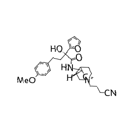 COc1ccc(CCC(O)(C(=O)N[C@H]2C[N+]3(CCCC#N)CCC2CC3)c2ccco2)cc1